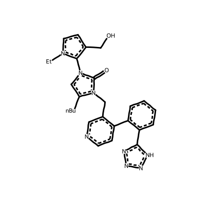 CCCCc1cn(-c2c(CO)ccn2CC)c(=O)n1Cc1cnccc1-c1ccccc1-c1nnn[nH]1